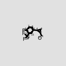 O=CC1CC1c1ccc(F)c(C(F)(F)F)c1